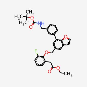 CCOC(=O)Cc1cccc(F)c1OCc1cc(-c2cccc(CNC(=O)OC(C)(C)C)c2)c2occc2c1